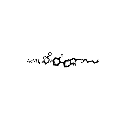 CC(=O)NC[C@H]1CN(c2ccc(-c3ccc4nc(COCCCCF)cn4c3)c(F)c2)C(=O)O1